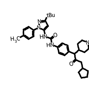 Cc1ccc(-n2nc(C(C)(C)C)cc2NC(=O)Nc2ccc(C(C(=O)CC3CCCC3)C3CCNCC3)cc2)cc1